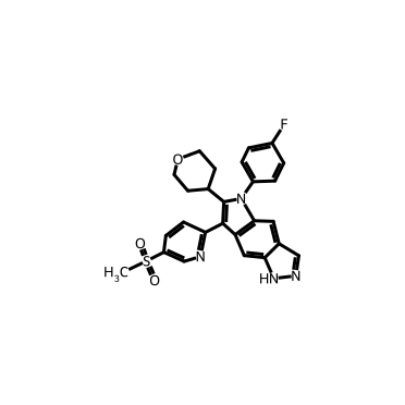 CS(=O)(=O)c1ccc(-c2c(C3CCOCC3)n(-c3ccc(F)cc3)c3cc4cn[nH]c4cc23)nc1